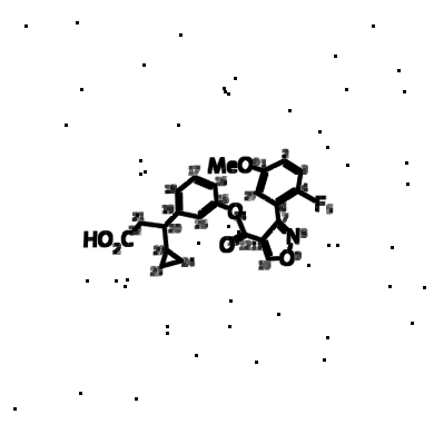 COc1ccc(F)c(-c2nocc2C(=O)Oc2cccc(C(CC(=O)O)C3CC3)c2)c1